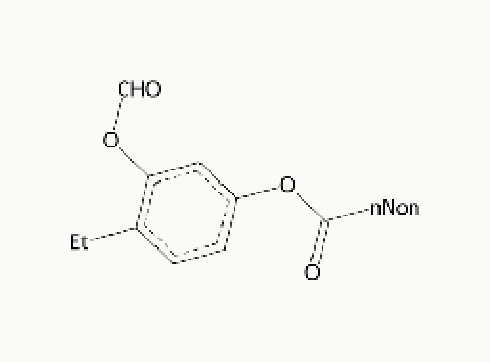 CCCCCCCCCC(=O)Oc1ccc(CC)c(OC=O)c1